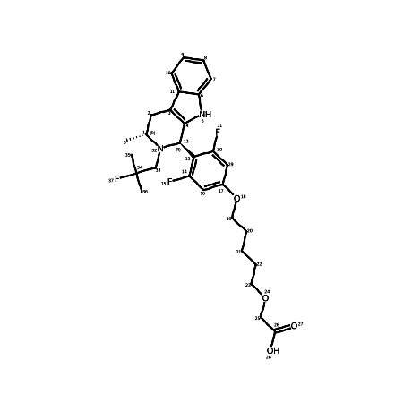 C[C@@H]1Cc2c([nH]c3ccccc23)[C@@H](c2c(F)cc(OCCCCCOCC(=O)O)cc2F)N1CC(C)(C)F